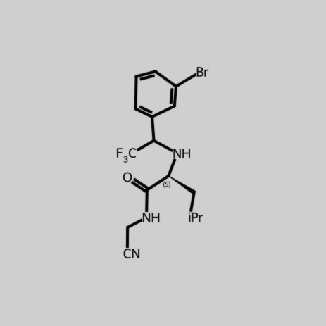 CC(C)C[C@H](NC(c1cccc(Br)c1)C(F)(F)F)C(=O)NCC#N